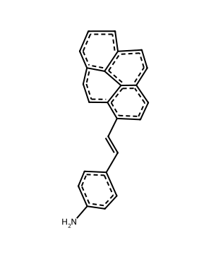 Nc1ccc(C=Cc2ccc3ccc4cccc5ccc2c3c45)cc1